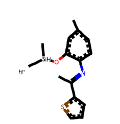 CC(=Nc1ccc(C)cc1O[SiH](C)C)c1cccs1.[H+]